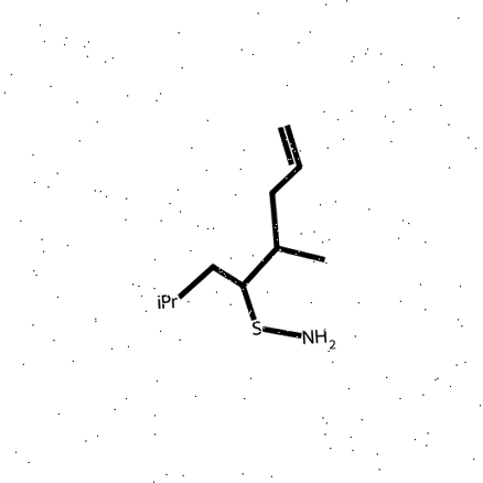 C=CCC(C)C(CC(C)C)SN